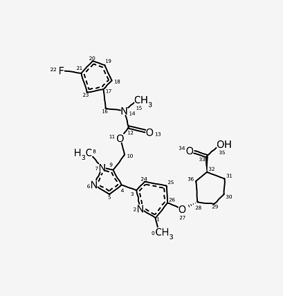 Cc1nc(-c2cnn(C)c2COC(=O)N(C)Cc2cccc(F)c2)ccc1O[C@H]1CCC[C@H](C(=O)O)C1